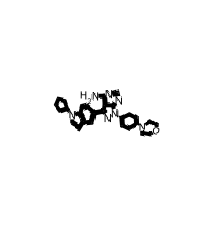 Nc1ncnc2c1c(-c1ccc3c(ccn3C3CCCC3)c1)nn2[C@H]1CC[C@H](N2CCOCC2)CC1